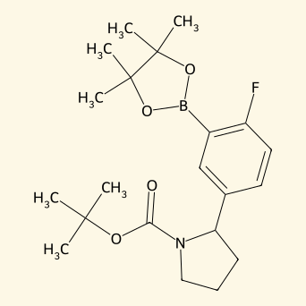 CC(C)(C)OC(=O)N1CCCC1c1ccc(F)c(B2OC(C)(C)C(C)(C)O2)c1